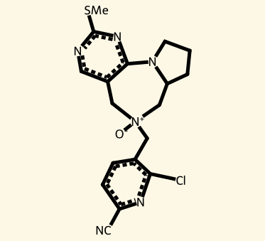 CSc1ncc2c(n1)N1CCCC1C[N+]([O-])(Cc1ccc(C#N)nc1Cl)C2